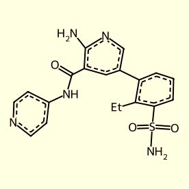 CCc1c(-c2cnc(N)c(C(=O)Nc3ccncc3)c2)cccc1S(N)(=O)=O